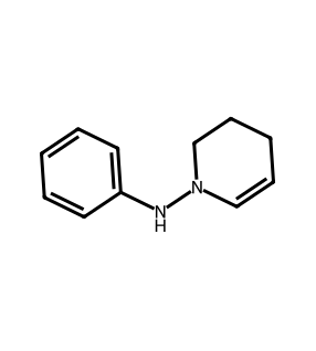 C1=CN(Nc2ccccc2)CCC1